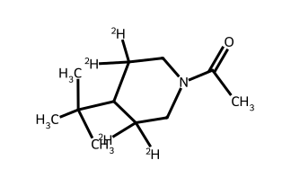 [2H]C1([2H])CN(C(C)=O)CC([2H])([2H])C1C(C)(C)C